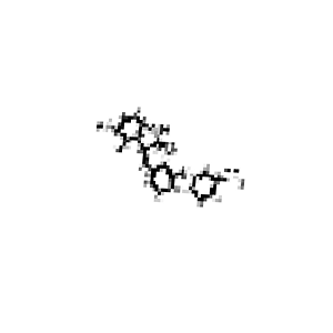 Cc1c(Br)ccc2c1C(=Cc1cccc(Oc3cccc(C(F)(F)F)c3)c1)C(=O)N2